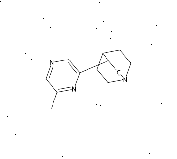 Cc1cncc(C2CN3CCC2CC3)n1